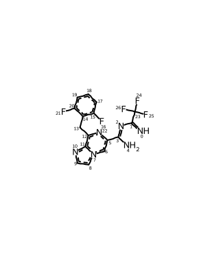 N=C(/N=C(\N)c1cn2ccnc2c(Cc2c(F)cccc2F)n1)C(F)(F)F